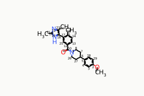 COc1ccc(C2CCN(C(=O)c3ccc(C)c(-c4[nH]c(C)nc4C)c3)CC2)cc1